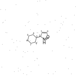 C1=C[C](C2CCCCC2)NO1